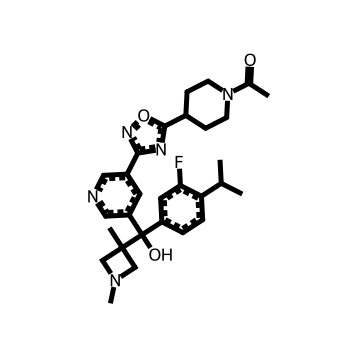 CC(=O)N1CCC(c2nc(-c3cncc(C(O)(c4ccc(C(C)C)c(F)c4)C4(C)CN(C)C4)c3)no2)CC1